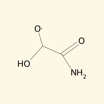 NC(=O)C([O])O